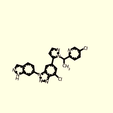 CC(c1ccc(Cl)cn1)n1nccc1-c1cc(Cl)c2nnn(-c3ccc4cn[nH]c4c3)c2c1